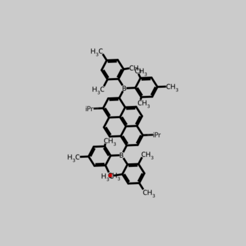 Cc1cc(C)c(B(c2c(C)cc(C)cc2C)c2cc(C(C)C)c3ccc4c(B(c5c(C)cc(C)cc5C)c5c(C)cc(C)cc5C)cc(C(C)C)c5ccc2c3c45)c(C)c1